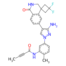 CC#CC(=O)Nc1cc(-n2cc(-c3ccc4c(c3)C3(CNC4=O)CC(F)(F)C3)c(N)n2)ccc1C